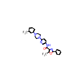 O=C(Nc1ccc(N2CCN(c3cccc(C(F)(F)F)c3)CC2)nc1)c1nc(-c2ccccc2)oc1C(F)(F)F